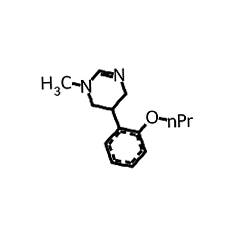 CCCOc1ccccc1C1CN=CN(C)C1